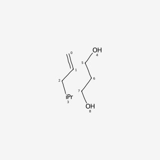 C=CCC(C)C.OCCCO